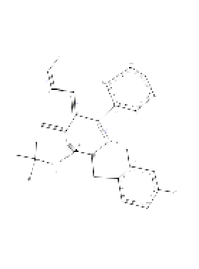 C=CC(=C\C=C/C)/C(=N\C(Cc1ccc(F)cc1F)C(=O)OC(C)(C)C)c1ccccc1